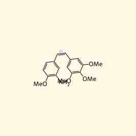 COc1ccc(/C=C\c2cc(OC)c(OC)c(OC)c2)cc1N